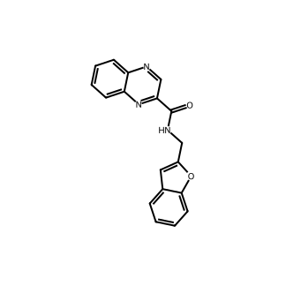 O=C(NCc1cc2ccccc2o1)c1cnc2ccccc2n1